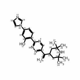 C=C(c1cnc(-c2ccc(-n3ccnc3)cc2O)nn1)C1CC(C)(C)NC(C)(C)C1